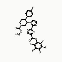 CC(C)(C)OC(=O)N1CCC(c2ccc(F)cc2)C(n2ccnc2-c2nc(C(=O)Oc3c(F)c(F)c(F)c(F)c3F)cs2)C1